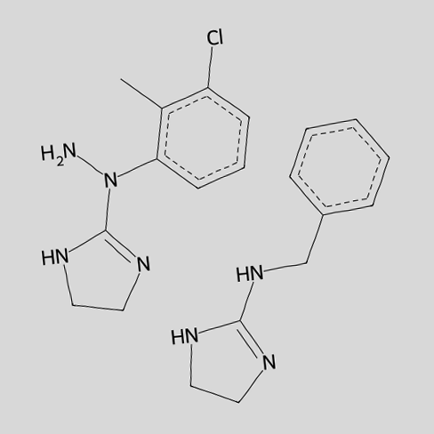 Cc1c(Cl)cccc1N(N)C1=NCCN1.c1ccc(CNC2=NCCN2)cc1